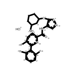 Cl.NC1CCCC(Oc2sncc2NC(=O)c2ccc(F)c(-c3c(F)cccc3F)n2)C1